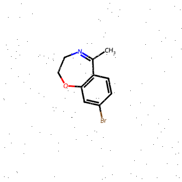 CC1=NCCOc2cc(Br)ccc21